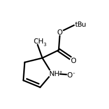 CC(C)(C)OC(=O)C1(C)CC=C[NH+]1[O-]